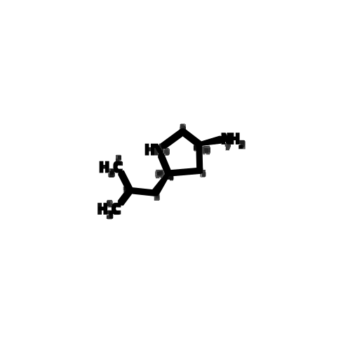 CC(C)C[C@@H]1C[C@H](N)CN1